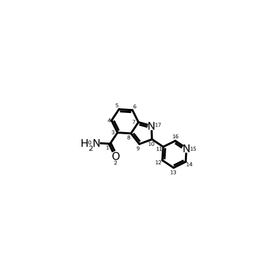 NC(=O)c1cccc2c1=CC(c1cccnc1)N=2